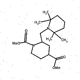 COC(=O)C1CCN(C(=O)OC)C(CN2C(C)(C)CCCC2(C)C)C1